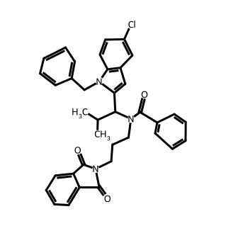 CC(C)C(c1cc2cc(Cl)ccc2n1Cc1ccccc1)N(CCCN1C(=O)c2ccccc2C1=O)C(=O)c1ccccc1